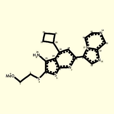 COCCSc1sc2nc(-c3cnc4cnccn34)cc(C3CCC3)c2c1N